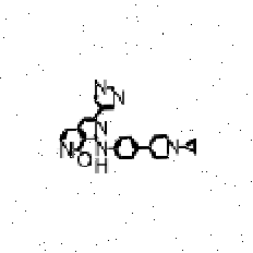 O=C1[N]C=Cc2cc(-c3cncnc3)nc(Nc3ccc(C4CCN(C5CC5)CC4)cc3)c21